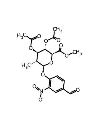 COC(=O)[C@H]1O[C@@H](Oc2ccc(C=O)cc2[N+](=O)[O-])[C@H](C)[C@@H](OC(C)=O)[C@@H]1OC(C)=O